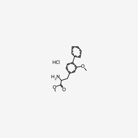 COC(=O)C(N)Cc1ccc(-c2ccccc2)c(OC)c1.Cl